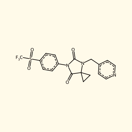 O=C1N(c2ccc(S(=O)(=O)C(F)(F)F)cc2)C(=O)C2(CC2)N1Cc1ccncc1